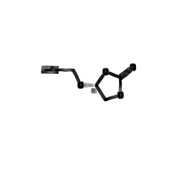 C#CCO[C@H]1COC(=O)O1